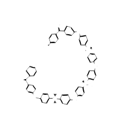 O=C(c1ccc(Cl)cc1)c1ccc(Oc2ccc(S(=O)(=O)c3ccc(Oc4ccc(S(=O)(=O)c5ccc(Oc6ccc(S(=O)(=O)c7ccc(Oc8ccc(C(=O)c9ccc(Cl)cc9)cc8)cc7)cc6)cc5)cc4)cc3)cc2)cc1